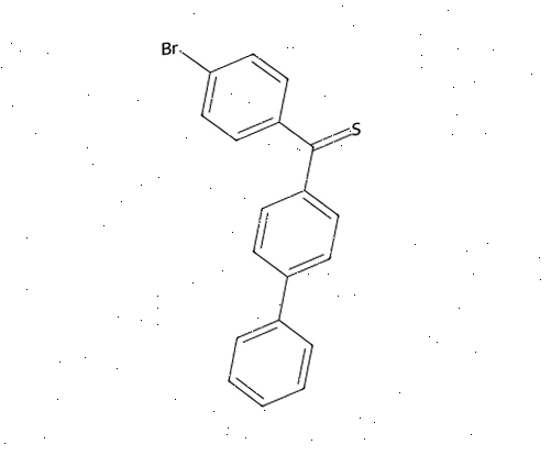 S=C(c1ccc(Br)cc1)c1ccc(-c2ccccc2)cc1